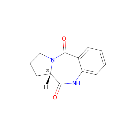 O=C1Nc2ccccc2C(=O)N2CCC[C@@H]12